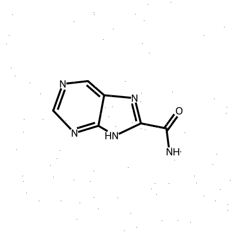 [NH]C(=O)c1nc2cncnc2[nH]1